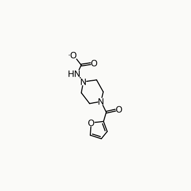 [O]C(=O)NN1CCN(C(=O)c2ccco2)CC1